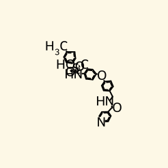 Cc1ccc(S(=O)(=O)Nc2ccc(Oc3ccc(CNC(=O)c4ccncc4)cc3)cc2C(=O)O)cc1